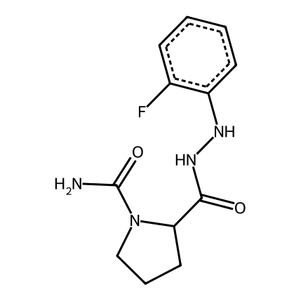 NC(=O)N1CCCC1C(=O)NNc1ccccc1F